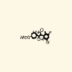 COC1CCC2(CC1)NC(=O)C(c1cc(Br)cc(F)c1C)=C2O